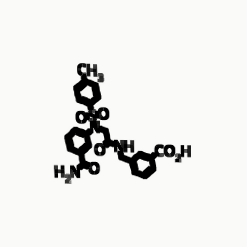 Cc1ccc(S(=O)(=O)N(CC(=O)NCc2cccc(C(=O)O)c2)c2cccc(C(N)=O)c2)cc1